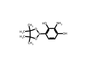 CC1(C)OB(c2ccc(O)c(N)c2O)OC1(C)C